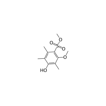 COc1c(C)c(O)c(C)c(C)c1S(=O)(=O)OC